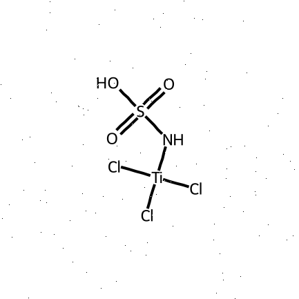 O=S(=O)(O)[NH][Ti]([Cl])([Cl])[Cl]